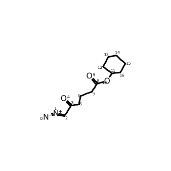 [N-]=[N+]=CC(=O)CCCC(=O)OC1CCCCC1